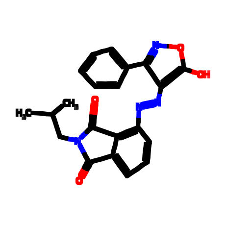 CC(C)CN1C(=O)c2cccc(N=Nc3c(-c4ccccc4)noc3O)c2C1=O